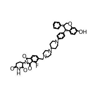 O=C1CCC(N2C(=O)c3ccc(CN4CCN(C5CCN(c6ccc([C@@H]7c8ccc(O)cc8OC[C@@H]7c7ccccc7)cc6)CC5)CC4)c(F)c3C2=O)C(=O)N1